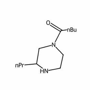 [CH2]CCCC(=O)N1CCNC(CCC)C1